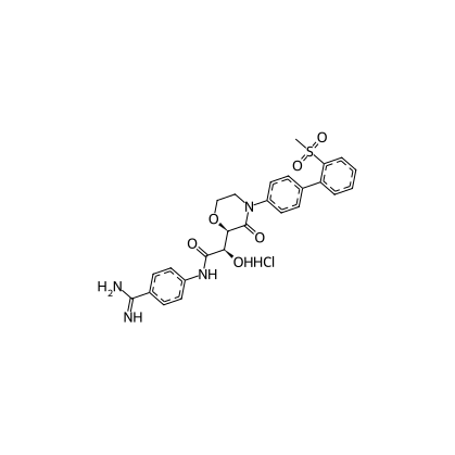 CS(=O)(=O)c1ccccc1-c1ccc(N2CCO[C@H]([C@@H](O)C(=O)Nc3ccc(C(=N)N)cc3)C2=O)cc1.Cl